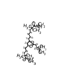 CNC(=O)C(C)(C)CCCCCC(CCCCCC(C)(C)C(=O)NC)OC(=O)CCN(C)C